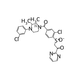 CC1[C@H](C)N(C(=O)c2ccc([S+]([O-])CC(=O)c3ncccn3)c(Cl)c2)CCN1c1cccc(Cl)c1